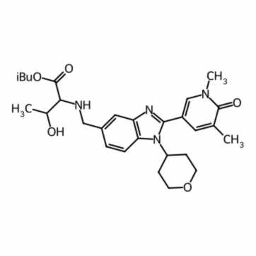 Cc1cc(-c2nc3cc(CNC(C(=O)OCC(C)C)C(C)O)ccc3n2C2CCOCC2)cn(C)c1=O